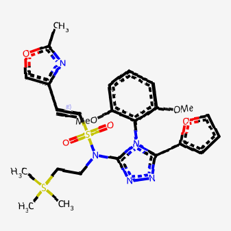 COc1cccc(OC)c1-n1c(-c2ccco2)nnc1N(CCS(C)(C)C)S(=O)(=O)/C=C/c1coc(C)n1